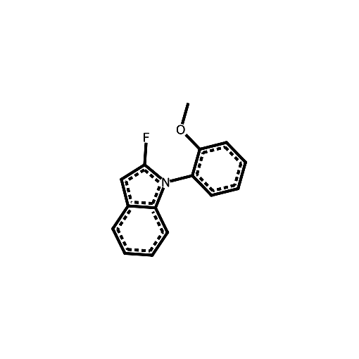 COc1ccccc1-n1c(F)cc2ccccc21